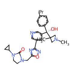 CC(C)c1ccc([C@](O)(c2cncc(-c3noc(CN4CCN(C5CC5)C4=O)n3)c2)C2(C)CN(C)C2)cc1